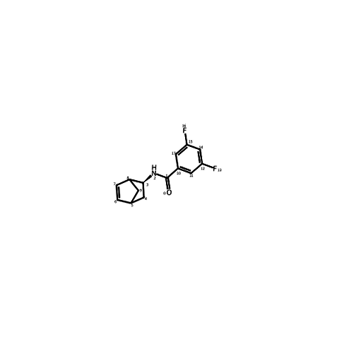 O=C(N[C@H]1CC2C=CC1C2)c1cc(F)cc(F)c1